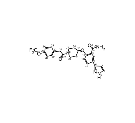 NC(=O)c1cc(-c2cc[nH]n2)ccc1OC1CCN(C(=O)Cc2ccc(OC(F)(F)F)cc2)CC1